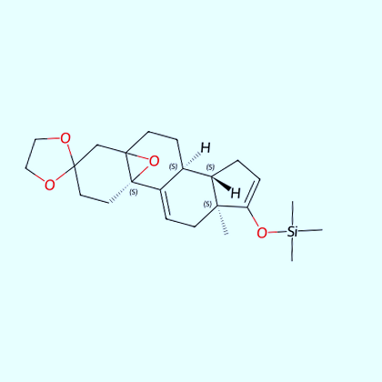 C[C@]12CC=C3[C@@H](CCC45CC6(CC[C@]34O5)OCCO6)[C@@H]1CC=C2O[Si](C)(C)C